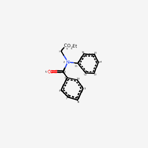 CCOC(=O)CN(C(=O)c1ccccc1)c1[c]cccc1